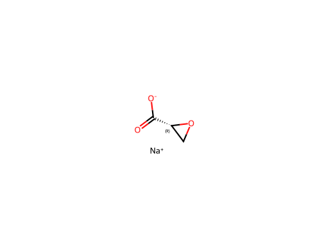 O=C([O-])[C@H]1CO1.[Na+]